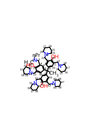 CCCN(C)Cc1cc(C(C)(c2cc(CN3CCCCC3)c(O)c(CN3CCCCC3)c2)c2cc(CN3CCCCC3)c(O)c(CN3CCCCC3)c2)cc(CN2CCCCC2)c1O